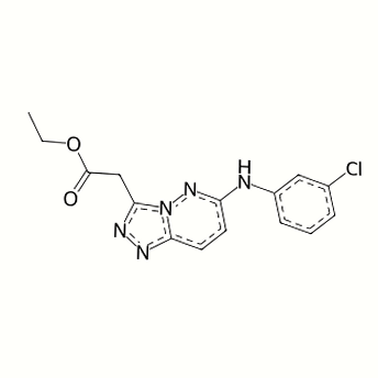 CCOC(=O)Cc1nnc2ccc(Nc3cccc(Cl)c3)nn12